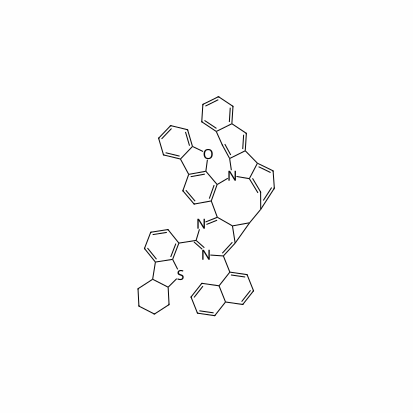 C1=CC2C=CC=C(C3=C4C5C(=NC(c6cccc7c6SC6CCCCC76)=N3)c3ccc6c(oc7ccccc76)c3-n3c6cc(ccc6c6cc7ccccc7cc63)C45)C2C=C1